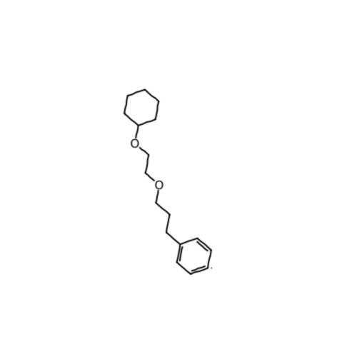 [c]1ccc(CCCOCCOC2CCCCC2)cc1